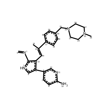 C=Nc1[nH]cc(-c2ccc(N)nc2)c1/C=C(\C)c1ccc(CN2CCN(C)CC2)cc1